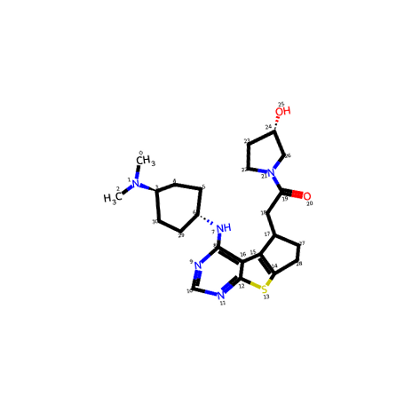 CN(C)[C@H]1CC[C@H](Nc2ncnc3sc4c(c23)C(CC(=O)N2CC[C@H](O)C2)CC4)CC1